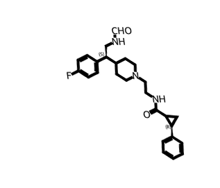 O=CNC[C@H](c1ccc(F)cc1)C1CCN(CCNC(=O)C2C[C@H]2c2ccccc2)CC1